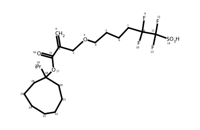 C=C(COCCCCC(F)(F)C(F)(F)S(=O)(=O)O)C(=O)OC1(C(C)C)CCCCCCC1